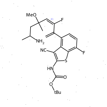 C=C(/C(F)=C\C(C)(CC(C)N)OC)c1ccc(F)c2sc(NC(=O)OC(C)(C)C)c(C#N)c12